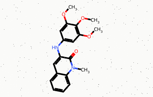 COc1cc(Nc2cc3ccccc3n(C)c2=O)cc(OC)c1OC